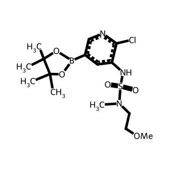 COCCN(C)S(=O)(=O)Nc1cc(B2OC(C)(C)C(C)(C)O2)cnc1Cl